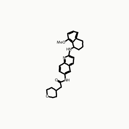 COc1cccc2c1C(Nc1ccc3cc(NC(=O)CC4CCOCC4)ccc3n1)CCC2